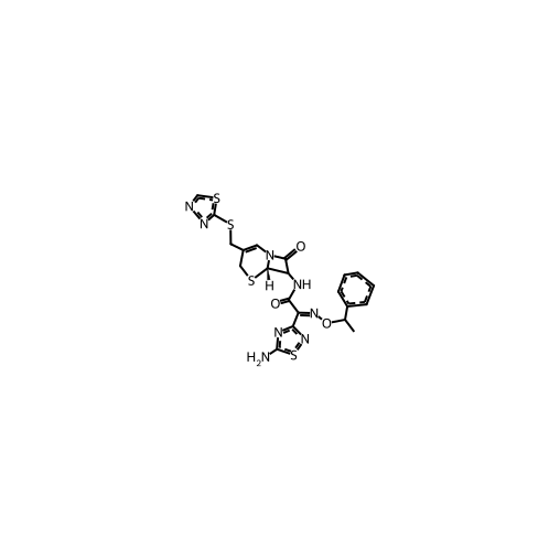 CC(ON=C(C(=O)NC1C(=O)N2C=C(CSc3nncs3)CS[C@@H]12)c1nsc(N)n1)c1ccccc1